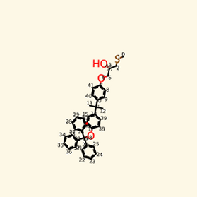 CSC[C@@H](O)COc1ccc(C(C)(C)c2ccc(OC(c3ccccc3)(c3ccccc3)c3ccccc3)cc2)cc1